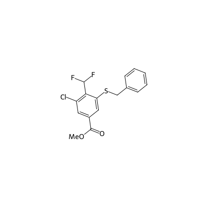 COC(=O)c1cc(Cl)c(C(F)F)c(SCc2ccccc2)c1